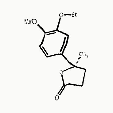 CCOc1cc([C@@]2(C)CCC(=O)O2)ccc1OC